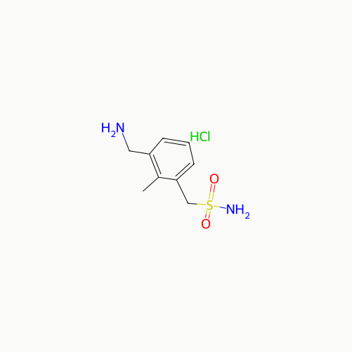 Cc1c(CN)cccc1CS(N)(=O)=O.Cl